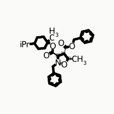 CC(C)C1CCC(C)(OC(=O)[C@H]2[C@H](C(=O)OCc3ccccc3)[C@@H](C)ON2Cc2ccccc2)CC1